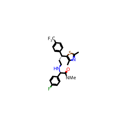 CNC(=O)[C@H](NCC[C@H](c1ccc(C(F)(F)F)cc1)c1sc(C)nc1C)c1ccc(F)cc1